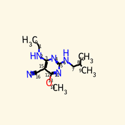 CCNc1nc(NCC(C)C)nc(OC)c1C#N